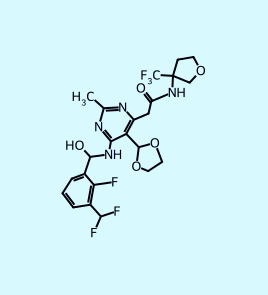 Cc1nc(CC(=O)NC2(C(F)(F)F)CCOC2)c(C2OCCO2)c(NC(O)c2cccc(C(F)F)c2F)n1